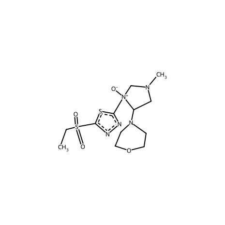 CCS(=O)(=O)c1nnc([N+]2([O-])CN(C)CC2N2CCOCC2)s1